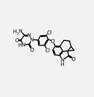 Nc1nn(-c2cc(Cl)c(Oc3ccc4c5c3CCC3CC53C(=O)N4)c(Cl)c2)c(=O)[nH]c1=O